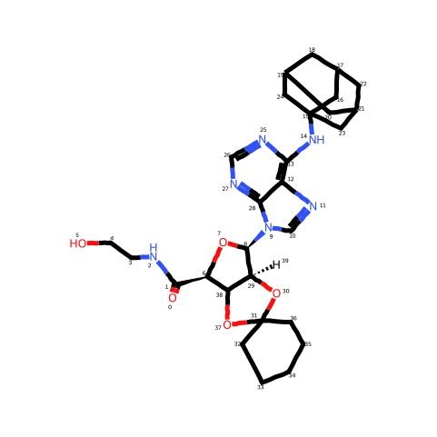 O=C(NCCO)[C@H]1O[C@@H](n2cnc3c(NC45CC6CC(CC(C6)C4)C5)ncnc32)[C@H]2OC3(CCCCC3)OC12